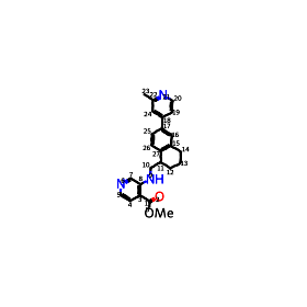 COC(=O)c1ccncc1NCC1CCCc2cc(-c3ccnc(C)c3)ccc21